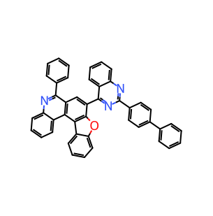 c1ccc(-c2ccc(-c3nc(-c4cc5c(-c6ccccc6)nc6ccccc6c5c5c4oc4ccccc45)c4ccccc4n3)cc2)cc1